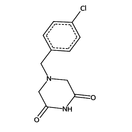 O=C1CN(Cc2ccc(Cl)cc2)CC(=O)N1